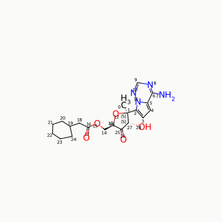 C[C@@]1(c2ccc3c(N)ncnn23)O[C@H](COC(=O)CC2CCCCC2)C(=O)[C@H]1O